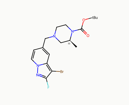 C[C@H]1CN(Cc2ccn3nc(F)c(Br)c3c2)CCN1C(=O)OC(C)(C)C